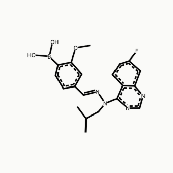 COc1cc(/C=N/N(CC(C)C)c2ncnc3cc(F)ccc23)ccc1B(O)O